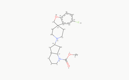 CC(C)OC(=O)N1CCCC2CC(N3CCC4(CC3)COc3ccc(F)cc34)CC21